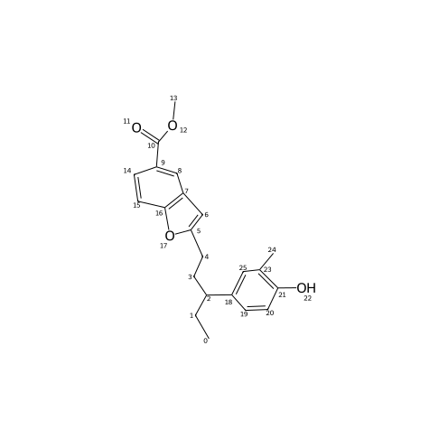 CCC(CCc1cc2cc(C(=O)OC)ccc2o1)c1ccc(O)c(C)c1